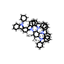 N#Cc1c(C#N)c(-n2c3ccccc3c3c2ccc2c4ccccc4n(-c4ccccc4)c23)c(-n2c3ccccc3c3ccccc32)c(-n2c3ccccc3c3ccccc32)c1-n1c2ccccc2c2ccccc21